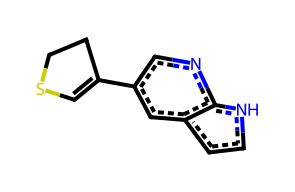 C1=C(c2cnc3[nH]ccc3c2)CCS1